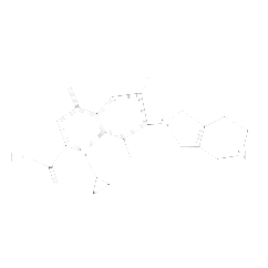 O=C(O)c1cc(=O)c2cc(F)c(N3CC4=C(CNCC4)C3)c(F)c2n1C1CC1